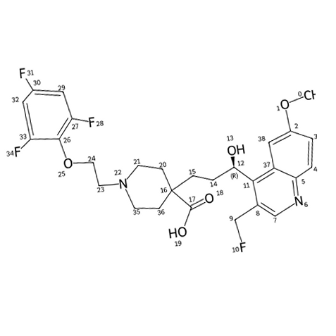 COc1ccc2ncc(CF)c([C@H](O)CCC3(C(=O)O)CCN(CCOc4c(F)cc(F)cc4F)CC3)c2c1